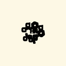 CC(=O)OOC(C)=O.Clc1cccc(Cl)c1Nc1ccccc1CC(Cl)Cl